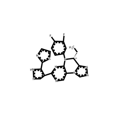 CC[C@@H]1c2nncn2-c2cnc(-c3cn[nH]c3-c3nccs3)nc2N1c1ccc(F)c(F)c1